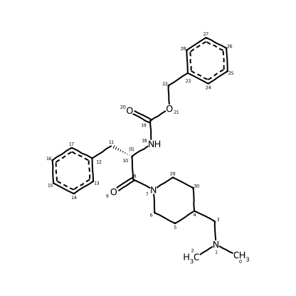 CN(C)CC1CCN(C(=O)[C@H](Cc2ccccc2)NC(=O)OCc2ccccc2)CC1